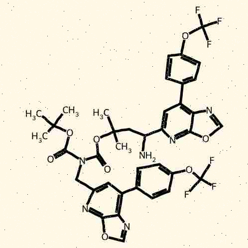 CC(C)(C)OC(=O)N(Cc1cc(-c2ccc(OC(F)(F)F)cc2)c2ncoc2n1)C(=O)OC(C)(C)CC(N)c1cc(-c2ccc(OC(F)(F)F)cc2)c2ncoc2n1